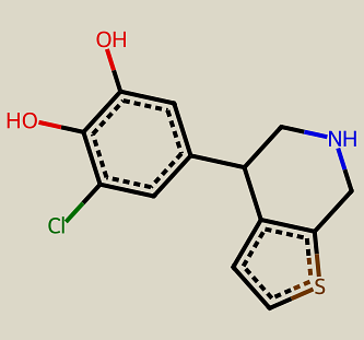 Oc1cc(C2CNCc3sccc32)cc(Cl)c1O